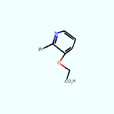 CC(C)c1ncccc1OCC(=O)O